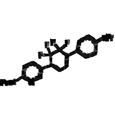 CCCCCc1ccc(C2=CC=C(c3ccc(CCC)cc3)C(F)(F)C2(F)F)cn1